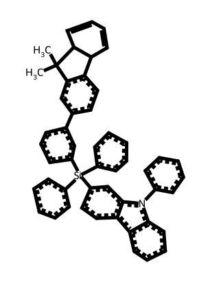 CC1(C)c2cc(-c3cccc([Si](c4ccccc4)(c4ccccc4)c4ccc5c6ccccc6n(-c6ccccc6)c5c4)c3)ccc2C2C=CC=CC21